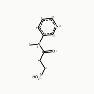 CN(C(=O)CCC(=O)O)c1cccnc1